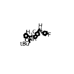 C[C@H]1C2=CNN(c3ccc(F)cc3)C2=CC2=C1[C@@H](CC(NC(=O)CC(C)(C)C)c1ccccc1)CC2